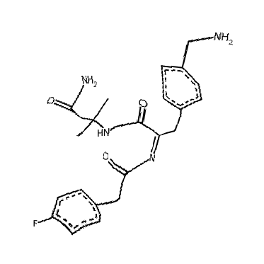 CC(C)(NC(=O)/C(Cc1ccc(CN)cc1)=N\C(=O)Cc1ccc(F)cc1)C(N)=O